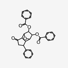 O=C(OC1C(OC(=O)c2ccccc2)C2OC1C1C(=O)CC(c3ccccc3)C21)c1ccccc1